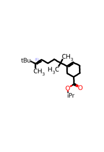 C/C(=C\CCC(C)(C)C1=CCCC(C(=O)OC(C)C)C1)C(C)(C)C